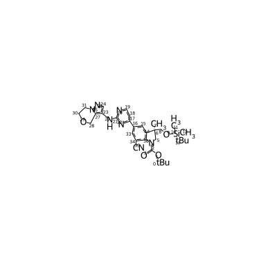 CC(C)(C)OC(=O)N1C[C@](C)(CO[Si](C)(C)C(C)(C)C)c2cc(-c3ccnc(Nc4cnn5c4COCC5)n3)cc(C#N)c21